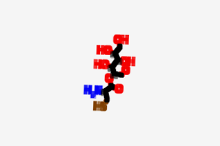 N[C@@H](CS)C(=O)O[C@@H](C=O)[C@@H](O)[C@H](O)[C@H](O)CO